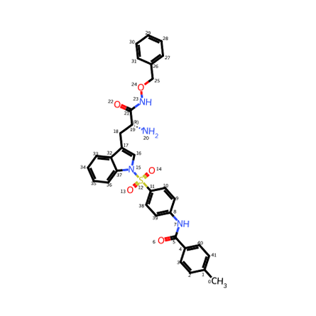 Cc1ccc(C(=O)Nc2ccc(S(=O)(=O)n3cc(C[C@@H](N)C(=O)NOCc4ccccc4)c4ccccc43)cc2)cc1